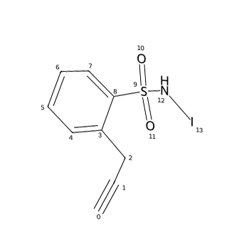 C#CCc1ccccc1S(=O)(=O)NI